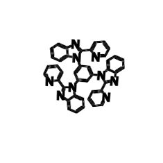 c1ccc(-c2nc3ccccc3n2-c2cc(-n3c(-c4ccccn4)nc4ccccc43)cc(-n3c(-c4ccccn4)nc4ccccc43)c2)nc1